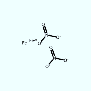 O=[N+]([O-])[O-].O=[N+]([O-])[O-].[Fe+2].[Fe]